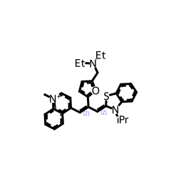 CCN(CC)Cc1ccc(C(=C\c2cc[n+](C)c3ccccc23)/C=C2\Sc3ccccc3N2C(C)C)o1